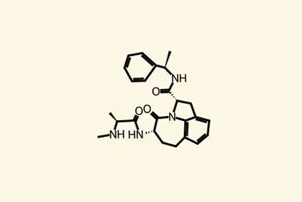 CN[C@@H](C)C(=O)N[C@H]1CCc2cccc3c2N(C1=O)[C@H](C(=O)N[C@H](C)c1ccccc1)C3